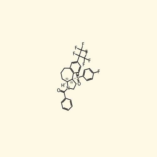 O=C(c1ccccc1)N1CC[C@]2(S(=O)(=O)c3ccc(F)cc3)c3ccc(C(F)(C(F)(F)F)C(F)(F)F)cc3CCC[C@H]12